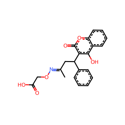 C/C(CC(c1ccccc1)c1c(O)c2ccccc2oc1=O)=N\OCC(=O)O